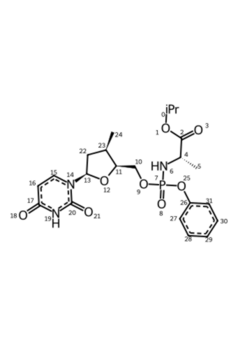 CC(C)OC(=O)[C@H](C)NP(=O)(OC[C@H]1O[C@@H](n2ccc(=O)[nH]c2=O)C[C@H]1C)Oc1ccccc1